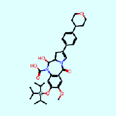 COc1cc2c(cc1O[Si](C(C)C)(C(C)C)C(C)C)N(C(=O)O)C(O)C1CC(c3ccc(C4CCOCC4)cc3)=CN1C2=O